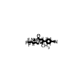 Cc1c(-c2ccc(C#N)cc2)cc(C=O)n1Cc1cc(C(F)(F)F)n[nH]1